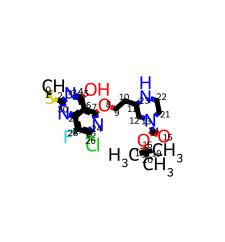 CSc1nc(O)c2c(OCCC3CN(C(=O)OC(C)(C)C)CCN3)nc(Cl)c(F)c2n1